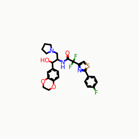 O=C(NC(CN1CCCC1)C(O)c1ccc2c(c1)OCCO2)C(F)(F)c1csc(-c2ccc(F)cc2)n1